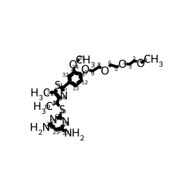 COCCOCCOCCOc1ccc(-c2nc([C@@H](C)Sc3nc(N)cc(N)n3)c(C)s2)cc1OC